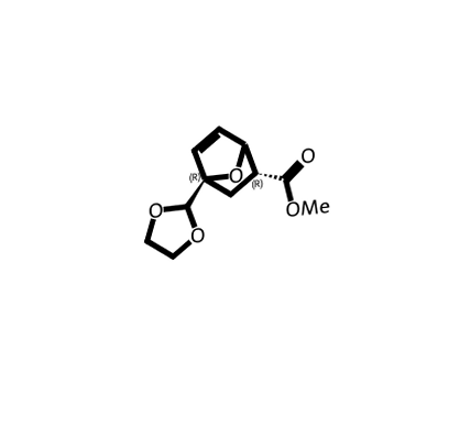 COC(=O)[C@@H]1C[C@]2(C3OCCO3)C=CC1O2